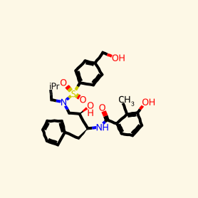 Cc1c(O)cccc1C(=O)N[C@@H](Cc1ccccc1)[C@H](O)CN(CC(C)C)S(=O)(=O)c1ccc(CO)cc1